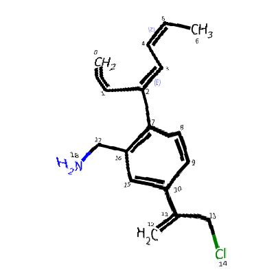 C=C/C(=C\C=C/C)c1ccc(C(=C)CCl)cc1CN